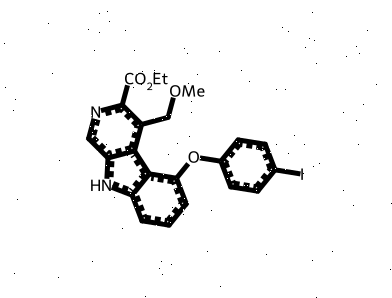 CCOC(=O)c1ncc2[nH]c3cccc(Oc4ccc(I)cc4)c3c2c1COC